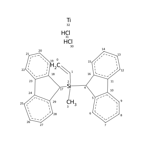 C=C[Si](C)(C1c2ccccc2-c2ccccc21)C1c2ccccc2-c2ccccc21.Cl.Cl.[Ti]